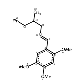 COc1cc(OC)c(OC)cc1C=NCC(C)CC(C)C